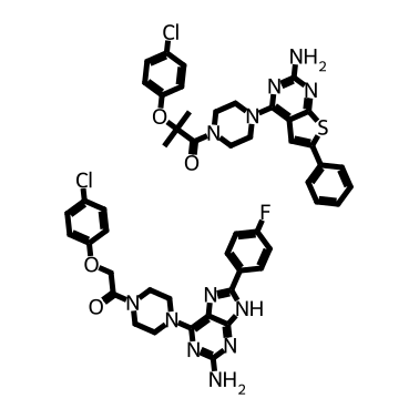 CC(C)(Oc1ccc(Cl)cc1)C(=O)N1CCN(c2nc(N)nc3sc(-c4ccccc4)cc23)CC1.Nc1nc(N2CCN(C(=O)COc3ccc(Cl)cc3)CC2)c2nc(-c3ccc(F)cc3)[nH]c2n1